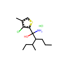 CCCC(C(C)CC)C(N)(O)c1scc(C)c1Cl.Cl